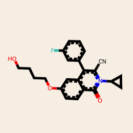 N#Cc1c(-c2cccc(F)c2)c2cc(OCCCCO)ccc2c(=O)n1C1CC1